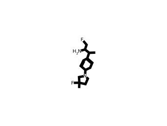 CC(C1=CCC(N2CCC(C)(F)C2)C=C1)C(N)CF